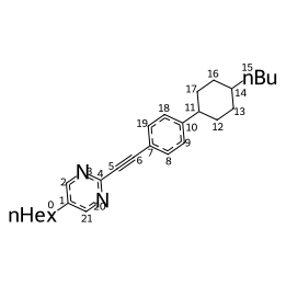 CCCCCCc1cnc(C#Cc2ccc(C3CCC(CCCC)CC3)cc2)nc1